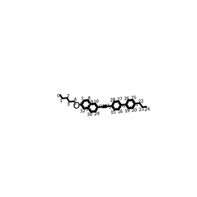 CCCCCOc1ccc2cc(C#Cc3ccc(-c4ccc(CCC)cc4)cc3)ccc2c1